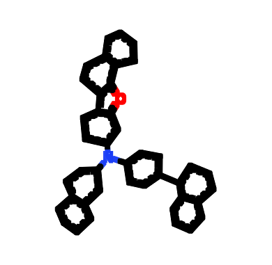 c1ccc2cc(N(c3ccc(-c4cccc5ccccc45)cc3)c3ccc4c(c3)oc3c5ccccc5ccc43)ccc2c1